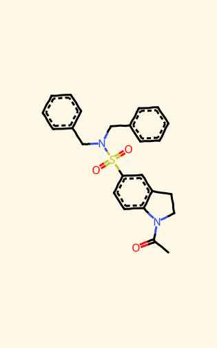 CC(=O)N1CCc2cc(S(=O)(=O)N(Cc3ccccc3)Cc3ccccc3)ccc21